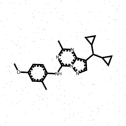 COc1ccc(Nc2nc(C)nc3c(C(C4CC4)C4CC4)cnn23)c(C)c1